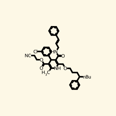 CCCCC(CCCOCC1=C(C(=O)NCC=Cc2ccccc2)C(c2cccc(Cl)c2)C(C(=O)OCCC#N)=C(C)N1)c1ccccc1